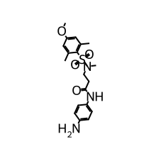 COc1cc(C)c(S(=O)(=O)N(C)CCC(=O)Nc2ccc(N)cc2)c(C)c1